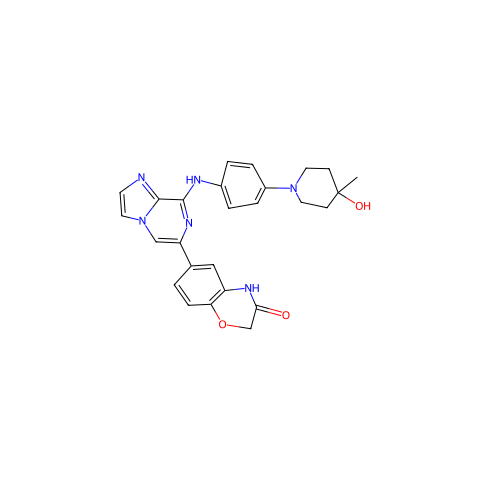 CC1(O)CCN(c2ccc(Nc3nc(-c4ccc5c(c4)NC(=O)CO5)cn4ccnc34)cc2)CC1